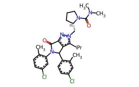 Cc1cc(Cl)ccc1C1c2c(nn(C[C@@H]3CCCN3C(=O)N(C)C)c2C(C)C)C(=O)N1c1cc(Cl)ccc1C